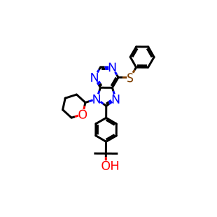 CC(C)(O)c1ccc(-c2nc3c(Sc4ccccc4)ncnc3n2C2CCCCO2)cc1